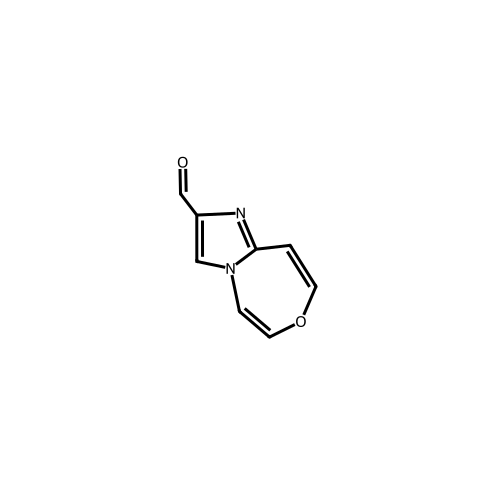 O=Cc1cn2c(n1)C=COC=C2